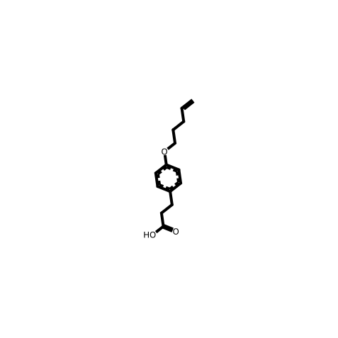 C=CCCCOc1ccc(CCC(=O)O)cc1